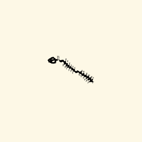 FC(F)(F)C(F)(F)C(F)(F)C(F)(F)C(F)(F)C(F)(F)/C=C/C(F)(F)C(F)(F)C(F)(F)C(F)(F)C(F)(F)C(F)(F)CCNC12CC3CC(C1)C(C3)C2